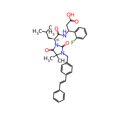 CC(C)C[C@@H](C(=O)NC(CC(=O)O)c1ccccc1F)N1C(=O)N(Cc2ccc(C=Cc3ccccc3)cc2)C(C)(C)C1=O